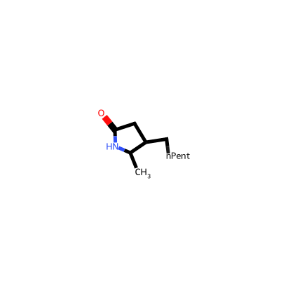 CCCCCCC1CC(=O)NC1C